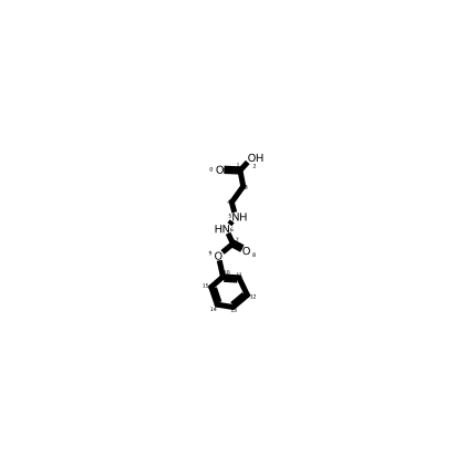 O=C(O)CCNNC(=O)Oc1ccccc1